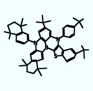 CC(C)(C)c1ccc(N2c3cc(C(C)(C)C)cc4c3B(c3cc5c(cc3N4c3ccc4c(c3)C(C)(C)CCC4(C)C)C(C)(C)CCC5(C)C)c3sc4ccc(C(C)(C)C)cc4c32)cc1